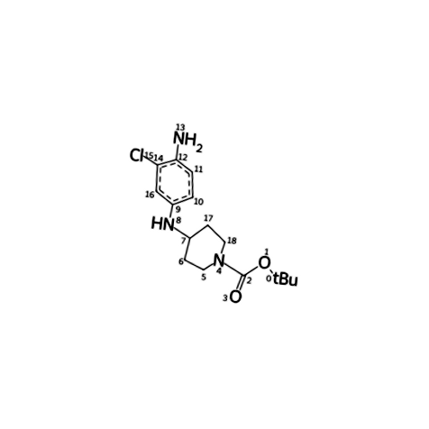 CC(C)(C)OC(=O)N1CCC(Nc2ccc(N)c(Cl)c2)CC1